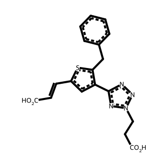 O=C(O)/C=C/c1cc(-c2nnn(CCC(=O)O)n2)c(Cc2ccccc2)s1